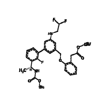 C[C@@H](NC(=O)OC(C)(C)C)c1cccc(-c2cc(COc3ccccc3CC(=O)OC(C)(C)C)cc(NCC(F)F)c2)c1F